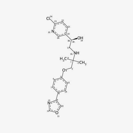 CC(C)(COc1ccc(-c2cocn2)cc1)NC[C@H](O)c1ccc(Cl)nc1